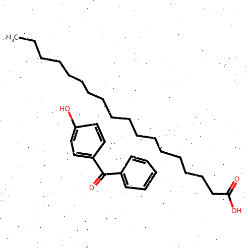 CCCCCCCCCCCCCCCCCC(=O)O.O=C(c1ccccc1)c1ccc(O)cc1